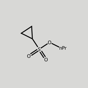 CCCOS(=O)(=O)C1CC1